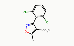 CCOC(=O)c1c(-c2c(Cl)cccc2Cl)noc1C